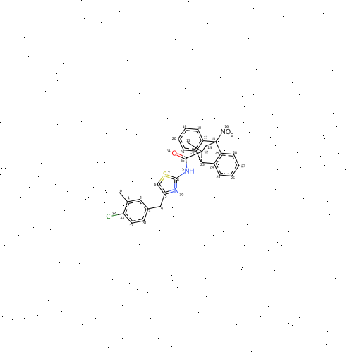 Cc1cc(Cc2csc(NC(=O)C3(C)CC4([N+](=O)[O-])c5ccccc5C3c3ccccc34)n2)ccc1Cl